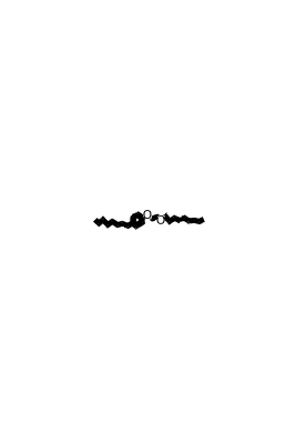 CCCCCCCCCOCCOc1ccc(CCCCCCCC)cc1